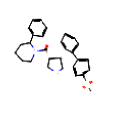 CS(=O)(=O)c1ccc(-c2ccccc2[C@@H]2CNC[C@H]2C(=O)N2CCCCC2c2ccccc2)cc1